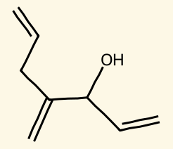 C=CCC(=C)C(O)C=C